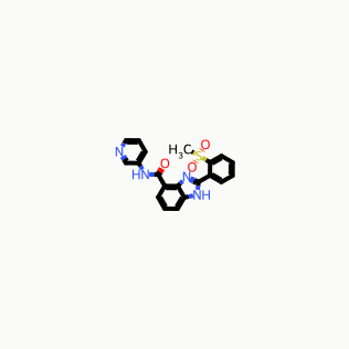 CS(=O)(=O)c1ccccc1-c1nc2c(C(=O)Nc3cccnc3)cccc2[nH]1